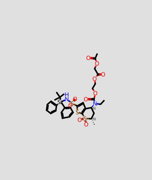 CCN(C(=O)OCCOC(=O)COC(C)=O)[C@H]1C[C@H](C)S(=O)(=O)c2sc(S(=O)(=O)N[Si](c3ccccc3)(c3ccccc3)C(C)(C)C)cc21